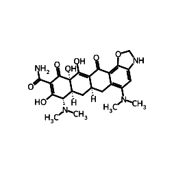 CN(C)c1cc2c(c3c1C[C@H]1C[C@H]4[C@H](N(C)C)C(O)=C(C(N)=O)C(=O)[C@@]4(O)C(O)=C1C3=O)OCN2